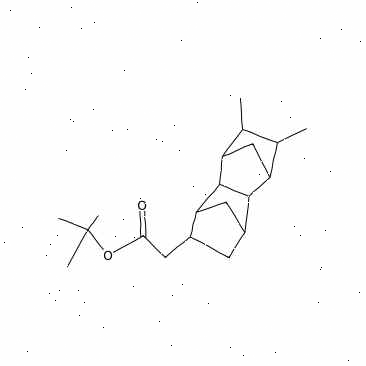 CC1C(C)C2CC1C1C3CC(CC(=O)OC(C)(C)C)C(C3)C21